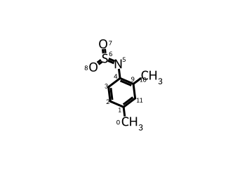 Cc1ccc(N=S(=O)=O)c(C)c1